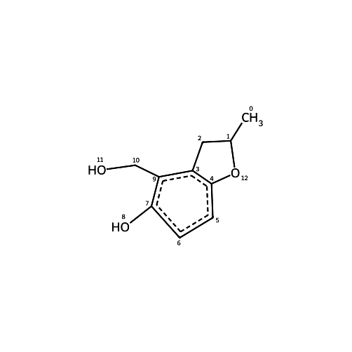 CC1Cc2c(ccc(O)c2CO)O1